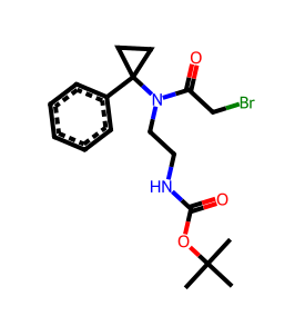 CC(C)(C)OC(=O)NCCN(C(=O)CBr)C1(c2ccccc2)CC1